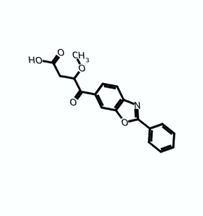 COC(CC(=O)O)C(=O)c1ccc2nc(-c3ccccc3)oc2c1